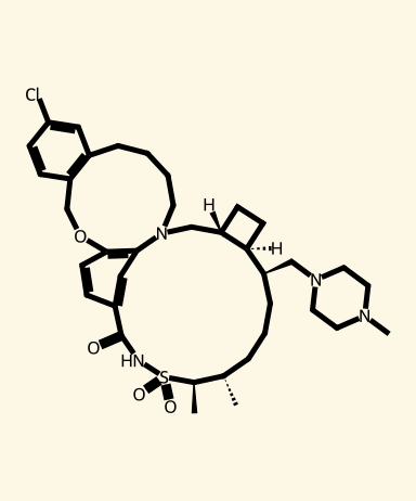 C[C@@H]1[C@@H](C)CCC[C@H](CN2CCN(C)CC2)[C@@H]2CC[C@H]2CN2CCCCc3cc(Cl)ccc3COc3ccc(cc32)C(=O)NS1(=O)=O